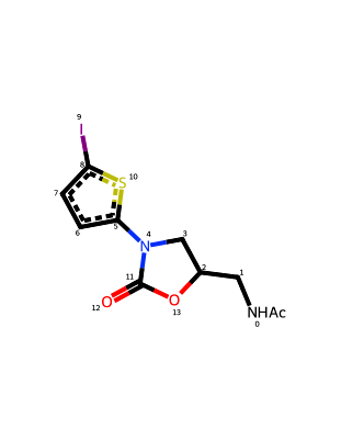 CC(=O)NCC1CN(c2ccc(I)s2)C(=O)O1